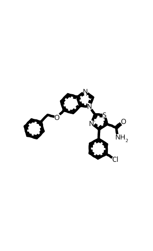 NC(=O)c1sc(-n2cnc3ccc(OCc4ccccc4)cc32)nc1-c1cccc(Cl)c1